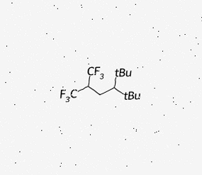 CC(C)(C)C(CC(C(F)(F)F)C(F)(F)F)C(C)(C)C